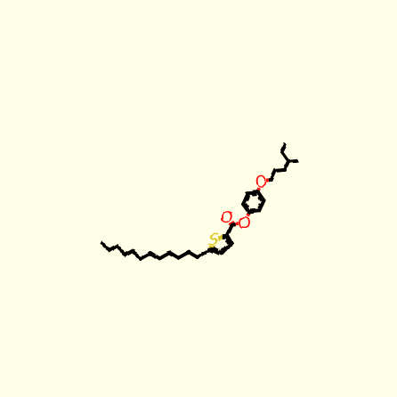 CCCCCCCCCCCCc1ccc(C(=O)Oc2ccc(OCCCC(C)CC)cc2)s1